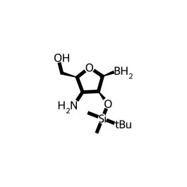 B[C@@H]1O[C@H](CO)C(N)[C@@H]1O[Si](C)(C)C(C)(C)C